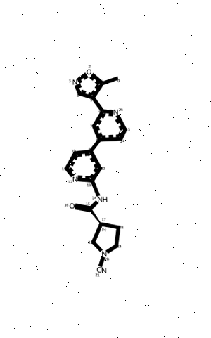 Cc1oncc1-c1cc(-c2ccnc(NC(=O)[C@H]3CCN(C#N)C3)c2)ccn1